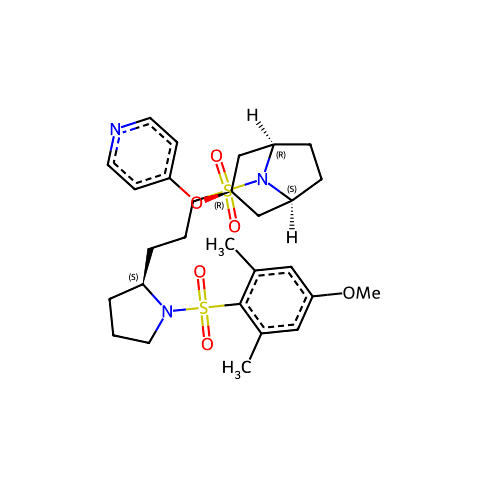 COc1cc(C)c(S(=O)(=O)N2CCC[C@H]2CCCS(=O)(=O)N2[C@@H]3CC[C@H]2C[C@@H](Oc2ccncc2)C3)c(C)c1